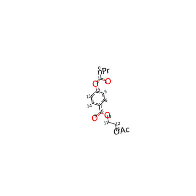 CCCC(=O)Oc1ccc(C(=O)OCCOC(C)=O)cc1